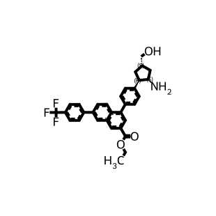 CCOC(=O)c1cc(-c2ccc([C@H]3C[C@H](CO)C[C@@H]3N)cc2)c2ccc(-c3ccc(C(F)(F)F)cc3)cc2c1